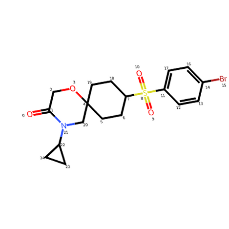 O=C1COC2(CCC(S(=O)(=O)c3ccc(Br)cc3)CC2)CN1C1CC1